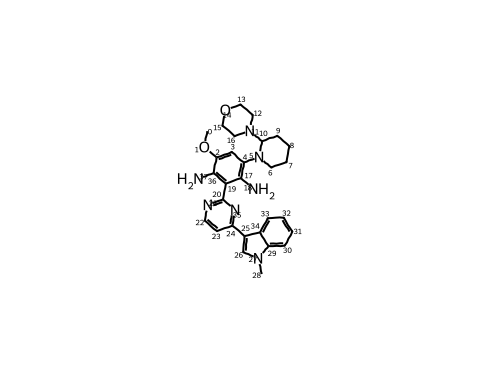 COc1cc(N2CCCCC2N2CCOCC2)c(N)c(-c2nccc(-c3cn(C)c4ccccc34)n2)c1N